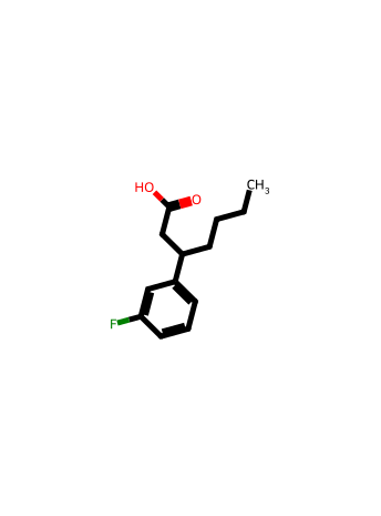 CCCCC(CC(=O)O)c1cccc(F)c1